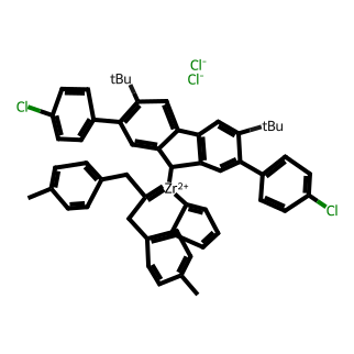 Cc1ccc(C[C](Cc2ccc(C)cc2)=[Zr+2]([C]2=CC=CC2)[CH]2c3cc(-c4ccc(Cl)cc4)c(C(C)(C)C)cc3-c3cc(C(C)(C)C)c(-c4ccc(Cl)cc4)cc32)cc1.[Cl-].[Cl-]